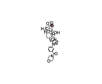 C[C@]12Cc3cnn(-c4cccc(C(=O)N5CCOCC5)c4)c3C=C1CC[C@@H]1[C@@H]2[C@@H](O)C[C@@]2(C)[C@H]1CC[C@@]21OCOC12COCO2